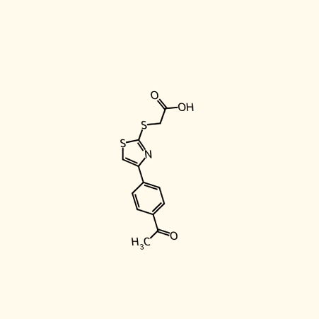 CC(=O)c1ccc(-c2csc(SCC(=O)O)n2)cc1